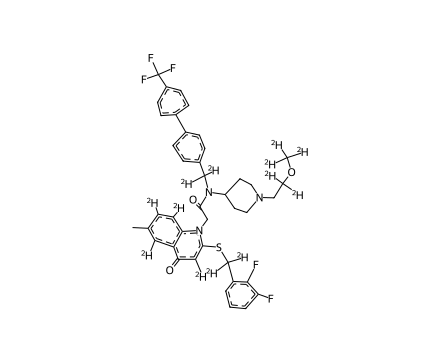 [2H]c1c(C)c([2H])c2c(=O)c([2H])c(SC([2H])([2H])c3cccc(F)c3F)n(CC(=O)N(C3CCN(CC([2H])([2H])OC([2H])([2H])[2H])CC3)C([2H])([2H])c3ccc(-c4ccc(C(F)(F)F)cc4)cc3)c2c1[2H]